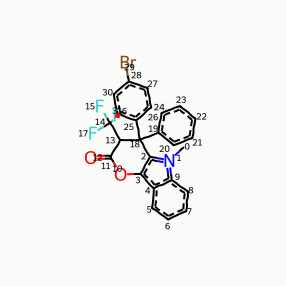 Cn1c2c(c3ccccc31)OC(=O)C(C(F)(F)F)C2(c1ccccc1)c1ccc(Br)cc1